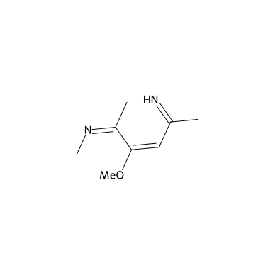 C/N=C(C)\C(=C/C(C)=N)OC